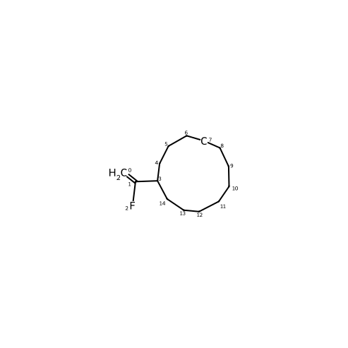 C=C(F)C1CCCCCCCCCCC1